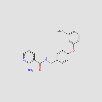 COc1cccc(Oc2ccc(CNC(=O)c3cccnc3N)cc2)c1